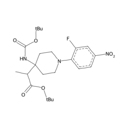 CC(C(=O)OC(C)(C)C)C1(NC(=O)OC(C)(C)C)CCN(c2ccc([N+](=O)[O-])cc2F)CC1